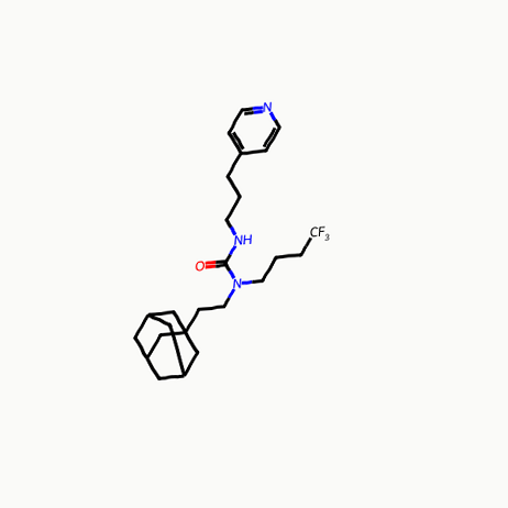 O=C(NCCCc1ccncc1)N(CCCC(F)(F)F)CCC12CC3CC(CC(C3)C1)C2